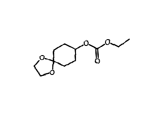 CCOC(=O)OC1CCC2(CC1)OCCO2